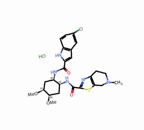 CO[C@H]1C[C@@H](NC(=O)c2cc3cc(Cl)ccc3[nH]2)[C@@H](NC(=O)c2nc3c(s2)CN(C)CC3)C[C@H]1OC.Cl